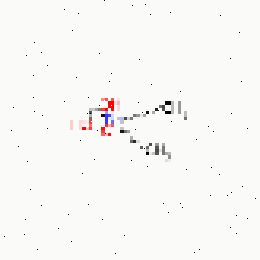 CCCCCCCCC(CCCCCC)C(=O)Nc1cc(O)ccc1O